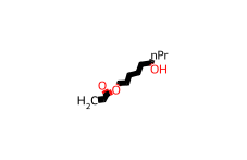 C=CC(=O)OCCCCCC(O)CCC